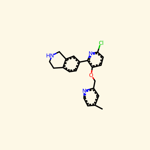 Cc1ccnc(COc2ccc(Cl)nc2-c2ccc3c(c2)CNCC3)c1